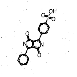 O=c1nc(-c2ccc(S(=O)(=O)O)cc2)c2c(=O)nc(-c3ccccc3)c1=2